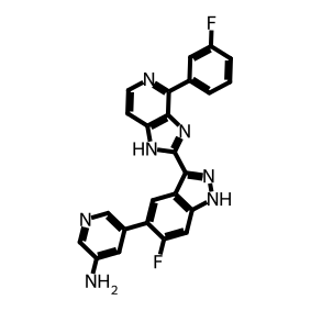 Nc1cncc(-c2cc3c(-c4nc5c(-c6cccc(F)c6)nccc5[nH]4)n[nH]c3cc2F)c1